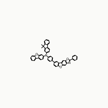 CC1(C)c2ccccc2-c2ccc(N(c3ccc(-c4ccc5oc6cc7nc(-c8ccccc8)oc7cc6c5c4)cc3)c3ccc4c(c3)oc3ccccc34)cc21